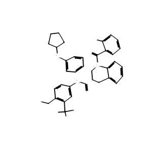 O=C(Nc1ccc(CO)c(C(F)(F)F)c1)[C@H]1Cc2ccccc2N(C(=O)c2ccccc2F)[C@H]1c1ccc(NC2CCCC2)cc1